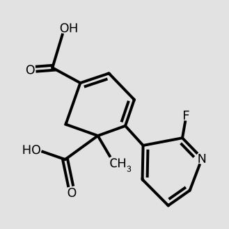 CC1(C(=O)O)CC(C(=O)O)=CC=C1c1cccnc1F